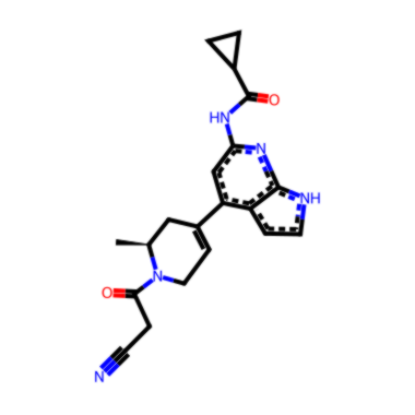 C[C@H]1CC(c2cc(NC(=O)C3CC3)nc3[nH]ccc23)=CCN1C(=O)CC#N